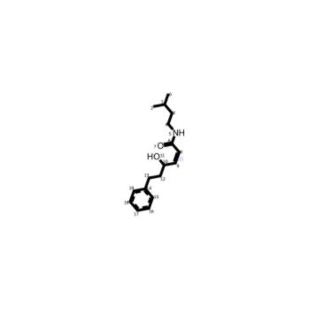 CC(C)CCNC(=O)/C=C\C(O)CCc1ccccc1